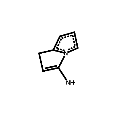 [NH]C1=CCc2cccn21